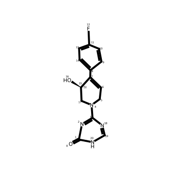 O=c1nc(N2CC=C(c3ccc(F)cc3)[C@H](O)C2)nc[nH]1